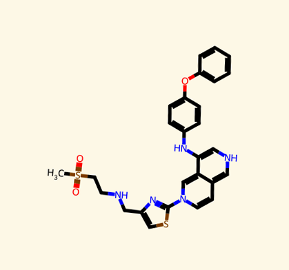 CS(=O)(=O)CCNCc1csc(N2C=CC3=CNC=C(Nc4ccc(Oc5ccccc5)cc4)C3=C2)n1